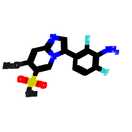 COc1cc2ncc(-c3ccc(F)c(N)c3F)n2cc1S(=O)(=O)C(C)(C)C